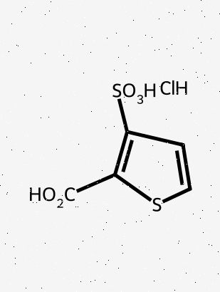 Cl.O=C(O)c1sccc1S(=O)(=O)O